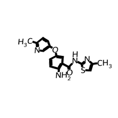 Cc1ccc(Oc2ccc(N)c(C(=O)Nc3nc(C)cs3)c2)cn1